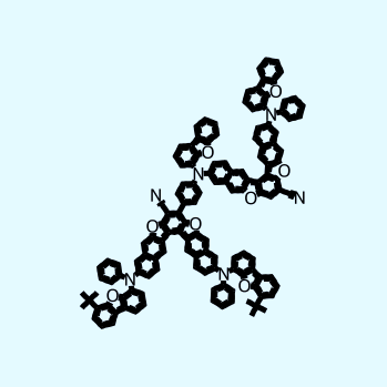 CC(C)(C)c1cccc2c1oc1c(N(c3ccccc3)c3ccc4cc5c(cc4c3)oc3c(C#N)c(-c4ccc(N(c6ccc7cc8c(cc7c6)oc6cc(C#N)c7oc9cc%10cc(N(c%11ccccc%11)c%11cccc%12c%11oc%11ccccc%11%12)ccc%10cc9c7c68)c6cccc7c6oc6ccccc67)cc4)c4oc6cc7cc(N(c8ccccc8)c8cccc9c8oc8c(C(C)(C)C)cccc89)ccc7cc6c4c35)cccc12